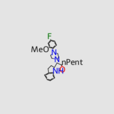 CCCCCC(=O)C(C1CCc2ccccc2N1)N1CCN(c2ccc(F)cc2OC)CC1